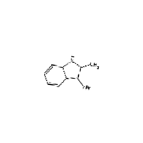 CCCC1C(C)NC2C=CC=CC21